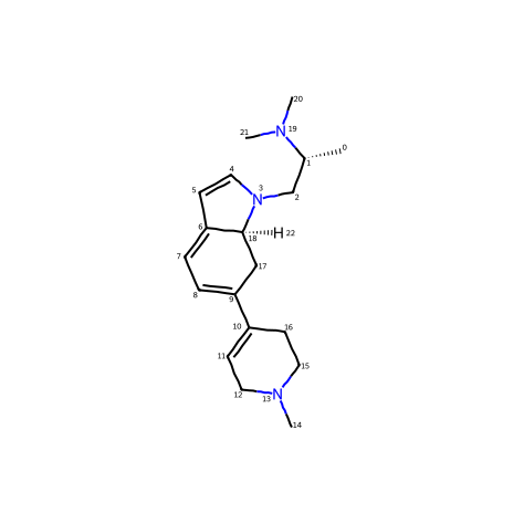 C[C@H](CN1C=CC2=CC=C(C3=CCN(C)CC3)C[C@@H]21)N(C)C